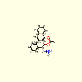 CNC[C@@H](COC(C)=O)c1ccccc1-c1ccc2ccccc2c1